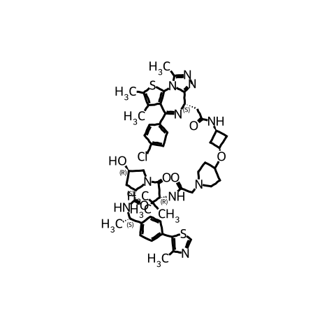 Cc1ncsc1-c1ccc([C@H](C)NC(=O)[C@@H]2C[C@@H](O)CN2C(=O)[C@H](NC(=O)CN2CCC(O[C@H]3C[C@H](NC(=O)C[C@@H]4N=C(c5ccc(Cl)cc5)c5c(sc(C)c5C)-n5c(C)nnc54)C3)CC2)C(C)(C)C)cc1